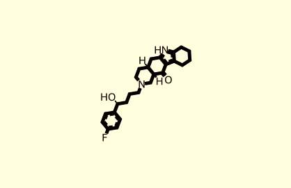 O=C1c2c([nH]c3c2CCCC3)C[C@@H]2CCN(CCC[C@@H](O)c3ccc(F)cc3)C[C@@H]12